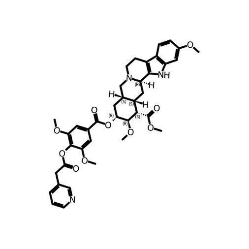 COC(=O)[C@H]1[C@H]2C[C@@H]3c4[nH]c5cc(OC)ccc5c4CCN3C[C@H]2C[C@@H](OC(=O)c2cc(OC)c(OC(=O)Cc3cccnc3)c(OC)c2)[C@@H]1OC